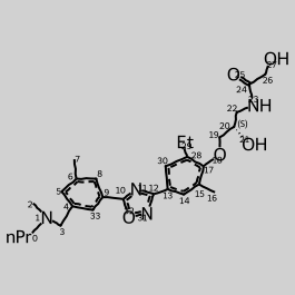 CCCN(C)Cc1cc(C)cc(-c2nc(-c3cc(C)c(OC[C@@H](O)CNC(=O)CO)c(CC)c3)no2)c1